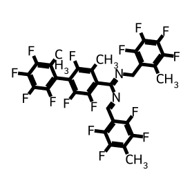 Cc1c(F)c(F)c(/C=N/C(=N\Cc2c(C)c(F)c(F)c(F)c2F)c2c(C)c(F)c(-c3c(C)c(F)c(F)c(F)c3F)c(F)c2F)c(F)c1F